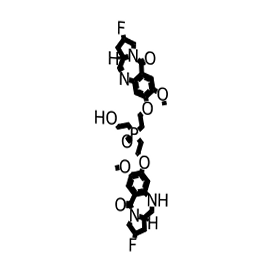 COc1cc2c(cc1OCCP(=O)(CCO)CCOc1cc3c(cc1OC)C(=O)N1CC(F)C[C@H]1CN3)N=C[C@@H]1CC(F)CN1C2=O